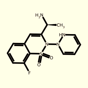 C[C@H](N)C1=Cc2cccc(F)c2S(=O)(=O)N1N1C=CC=CN1